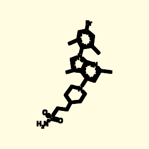 Cc1cc(N2CCC(CCS(N)(=O)=O)CC2)c2c(C)cn(-c3c(C)cc(Br)cc3C)c2n1